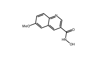 COc1ccc2ncc(C(=O)NO)cc2c1